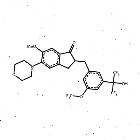 COc1cc2c(cc1N1CCOCC1)CC(Cc1cc(OC(F)(F)F)cc(C(O)(C(F)(F)F)C(F)(F)F)c1)C2=O